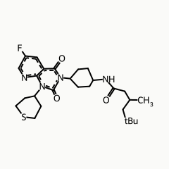 CC(CC(=O)NC1CCC(n2c(=O)c3cc(F)cnc3n(C3CCSCC3)c2=O)CC1)CC(C)(C)C